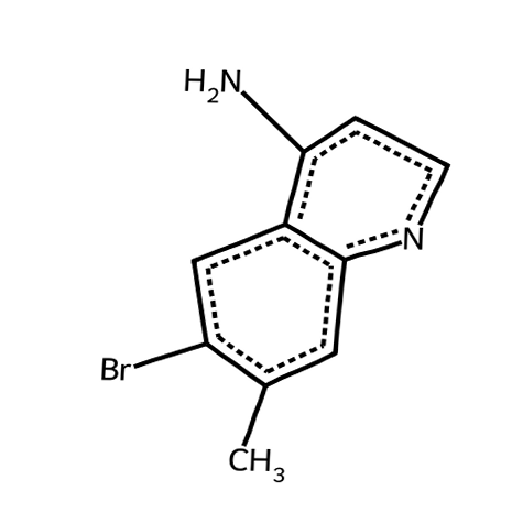 Cc1cc2nccc(N)c2cc1Br